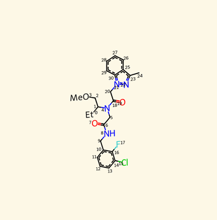 CCC(COC)N(CC(=O)NCc1cccc(Cl)c1F)C(=O)Cn1nc(C)c2ccccc21